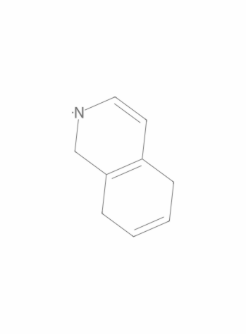 C1=CCC2=C(C=C[N]C2)C1